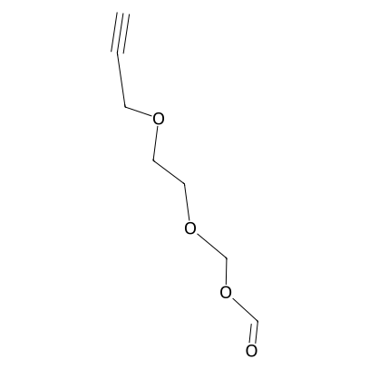 C#CCOCCOCOC=O